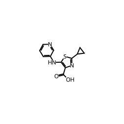 O=C(O)c1nc(C2CC2)sc1Nc1cccnc1